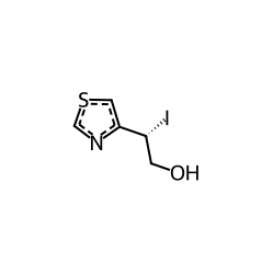 OC[C@@H](I)c1cscn1